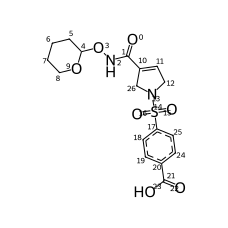 O=C(NOC1CCCCO1)C1=CCN(S(=O)(=O)c2ccc(C(=O)O)cc2)C1